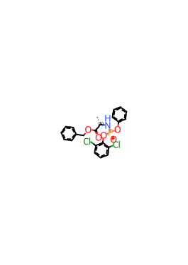 C[C@H](NP(=O)(Oc1ccccc1)Oc1c(Cl)cccc1Cl)C(=O)OCc1ccccc1